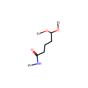 CCOC(CCCC(=O)NC(C)C)OCC